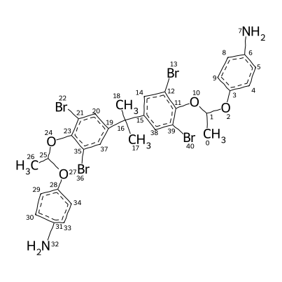 CC(Oc1ccc(N)cc1)Oc1c(Br)cc(C(C)(C)c2cc(Br)c(OC(C)Oc3ccc(N)cc3)c(Br)c2)cc1Br